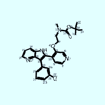 CN(CCOc1cnccc1-c1[nH]c2cccnc2c1-c1cccc(Cl)c1)C(=O)OC(C)(C)C